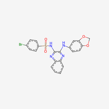 O=S(=O)(Nc1nc2ccccc2nc1Nc1ccc2c(c1)OCO2)c1ccc(Br)cc1